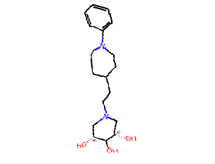 OC1[C@H](O)CN(CCC2CCN(c3ccccc3)CC2)C[C@@H]1O